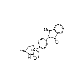 C=C1CC[C@](CC)(c2ccc(N3C(=O)c4ccccc4C3=O)cc2)C(=O)N1